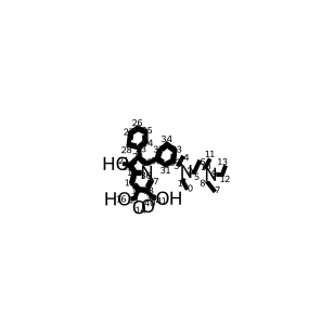 CCN(CC)CC.CCN(CC)CC.O=C(O)c1cc2c(O)c(-c3ccccc3)c(-c3ccccc3)n2cc1C(=O)O